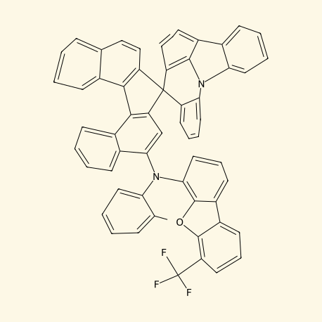 Cc1ccccc1N(c1cc2c(c3ccccc13)-c1c(ccc3ccccc13)C21c2ccccc2-n2c3ccccc3c3cccc1c32)c1cccc2c1oc1c(C(F)(F)F)cccc12